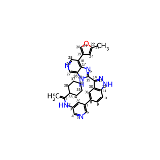 C=C(Nc1cncc(-c2ccc3[nH]nc(-c4nc5c(-c6coc(C)c6)cncc5[nH]4)c3c2)c1)C1CCCCC1